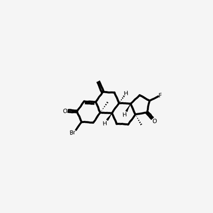 C=C1C[C@@H]2[C@H](CC[C@]3(C)C(=O)C(F)C[C@@H]23)[C@@]2(C)CC(Br)C(=O)C=C12